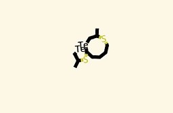 CC1C[Te]C2(CCCCS1)SC(C)C[Te]2